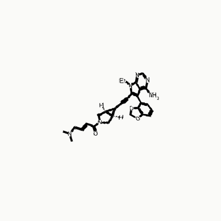 CCn1c(C#CC2[C@H]3CN(C(=O)/C=C/CN(C)C)C[C@@H]23)c(-c2cccc3c2OCO3)c2c(N)ncnc21